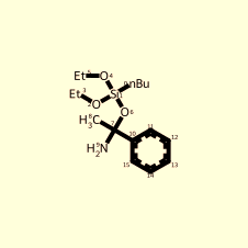 CCCC[Si](OCC)(OCC)OC(C)(N)c1ccccc1